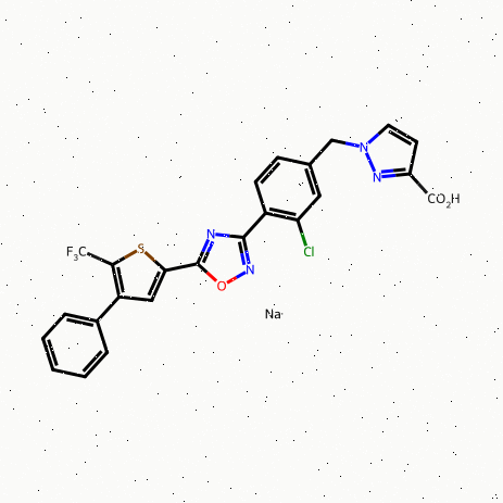 O=C(O)c1ccn(Cc2ccc(-c3noc(-c4cc(-c5ccccc5)c(C(F)(F)F)s4)n3)c(Cl)c2)n1.[Na]